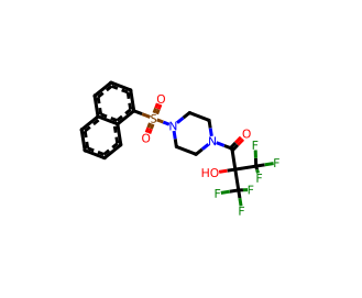 O=C(N1CCN(S(=O)(=O)c2cccc3ccccc23)CC1)C(O)(C(F)(F)F)C(F)(F)F